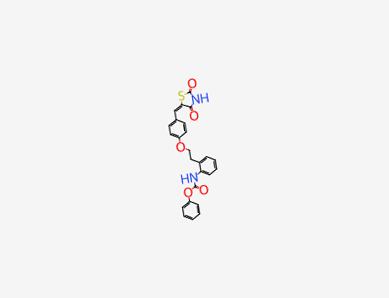 O=C(Nc1ccccc1CCOc1ccc(C=C2SC(=O)NC2=O)cc1)Oc1ccccc1